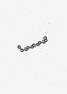 c1ccc(-c2cccc(-c3ccc4cc(-c5ccc6nc(-c7ccc8cc(-c9ccc%10ccc%11cccnc%11c%10n9)ccc8c7)ccc6c5)ccc4n3)c2)cc1